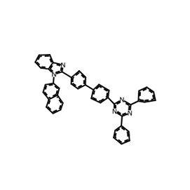 c1ccc(-c2nc(-c3ccccc3)nc(-c3ccc(-c4ccc(-c5nc6ccccc6n5-c5ccc6ccccc6c5)cc4)cc3)n2)cc1